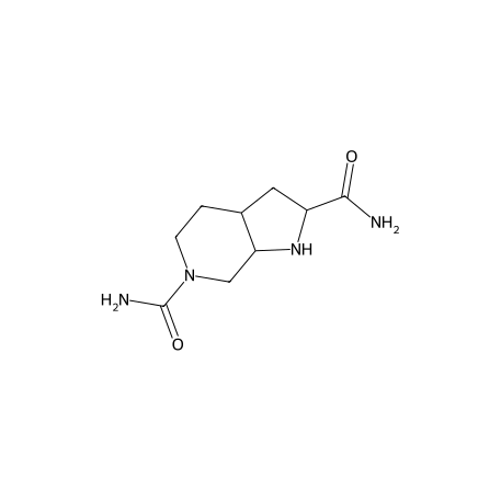 NC(=O)C1CC2CCN(C(N)=O)CC2N1